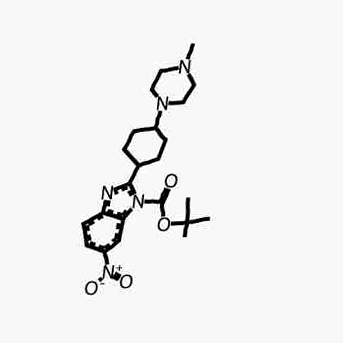 CN1CCN(C2CCC(c3nc4ccc([N+](=O)[O-])cc4n3C(=O)OC(C)(C)C)CC2)CC1